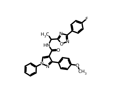 COc1ccc(-c2nn(-c3ccccc3)cc2C(=O)NC(C)c2nc(-c3ccc(F)cc3)no2)cc1